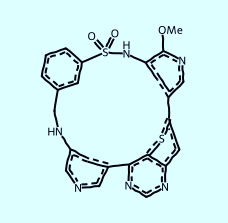 COc1ncc2cc1NS(=O)(=O)c1cccc(c1)CNc1cncc(c1)-c1ncnc3cc-2sc13